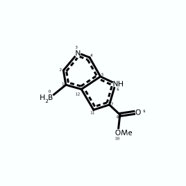 Bc1cncc2[nH]c(C(=O)OC)cc12